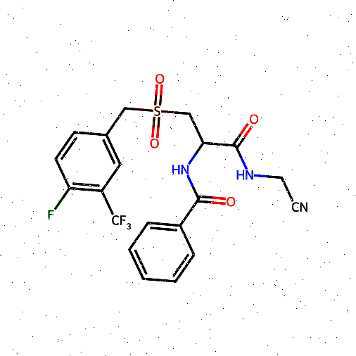 N#CCNC(=O)C(CS(=O)(=O)Cc1ccc(F)c(C(F)(F)F)c1)NC(=O)c1ccccc1